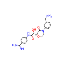 N=C(N)c1ccc(NC(=O)C(O)[C@H]2OCCN(c3cccc(CN)c3)C2=O)cc1